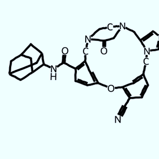 N#Cc1ccc2cc1Oc1ccc(C(=O)NC3C4CC5CC(C4)CC3C5)c(c1)CN1CCN(CC1=O)Cc1cncn1C2